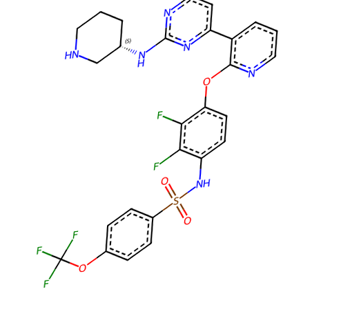 O=S(=O)(Nc1ccc(Oc2ncccc2-c2ccnc(N[C@H]3CCCNC3)n2)c(F)c1F)c1ccc(OC(F)(F)F)cc1